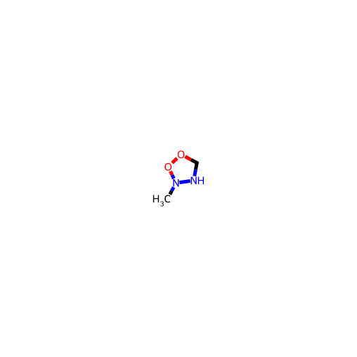 CN1NCOO1